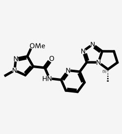 COc1nn(C)cc1C(=O)Nc1cccc(-c2nnc3n2[C@@H](C)CC3)n1